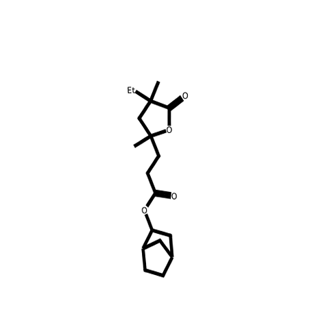 CCC1(C)CC(C)(CCC(=O)OC2CC3CCC2C3)OC1=O